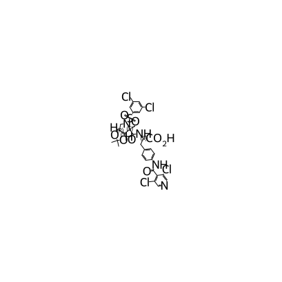 CC1(C)O[C@@H]2[C@@H](CN(S(=O)(=O)c3cc(Cl)cc(Cl)c3)[C@]2(C)C(=O)N[C@@H](Cc2ccc(NC(=O)c3c(Cl)cncc3Cl)cc2)C(=O)O)O1